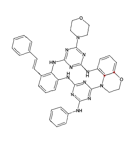 C(=Cc1cccc(Nc2nc(Nc3ccccc3)nc(N3CCOCC3)n2)c1Nc1nc(Nc2ccccc2)nc(N2CCOCC2)n1)c1ccccc1